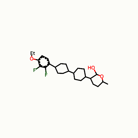 CCOc1ccc(C2CCC(C3CCC(C4CCC(C)OC4O)CC3)CC2)c(F)c1F